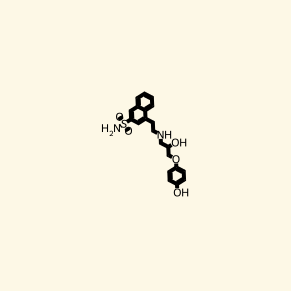 NS(=O)(=O)c1cc(CCNCC(O)COc2ccc(O)cc2)c2ccccc2c1